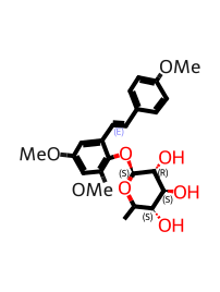 COc1ccc(/C=C/c2cc(OC)cc(OC)c2O[C@@H]2OC(C)[C@@H](O)[C@H](O)[C@H]2O)cc1